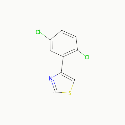 Clc1ccc(Cl)c(-c2cs[c]n2)c1